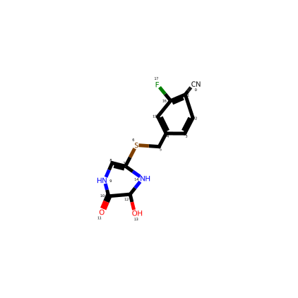 N#Cc1ccc(CSC2=CNC(=O)C(O)N2)cc1F